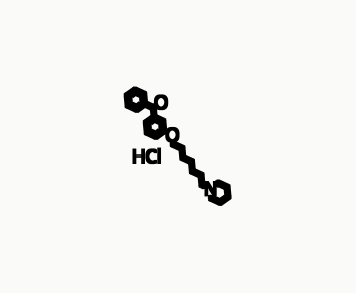 Cl.O=C(c1ccccc1)c1cccc(OCCCCCCCN2CCCCC2)c1